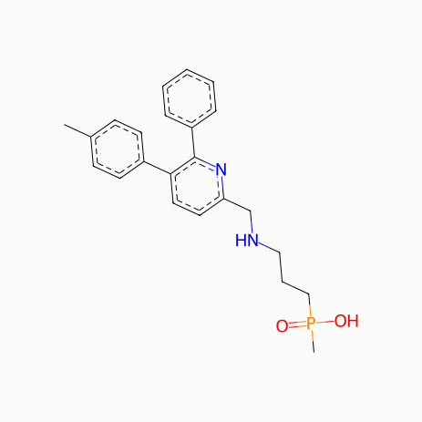 Cc1ccc(-c2ccc(CNCCCP(C)(=O)O)nc2-c2ccccc2)cc1